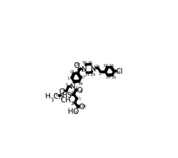 CC(C)OCCN(C(=O)C(S)CCC(=O)O)c1ccc(C(=O)N2CCN(CCc3ccc(Cl)cc3)CC2)cc1